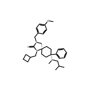 COc1ccc(CN2C[C@]3(CC[C@@](c4ccccc4)(N(C)CC(C)C)CC3)N(CC3CCC3)C2=O)cc1